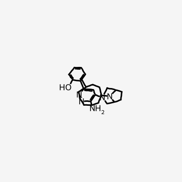 CC1CCCCCC(N2C3CCC2CN(c2cc(-c4ccccc4O)nnc2N)C3)CC1